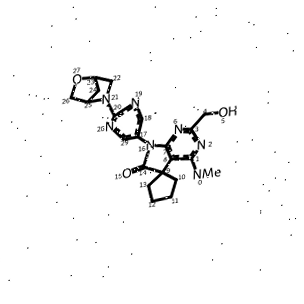 CNc1nc(CO)nc2c1C1(CCCC1)C(=O)N2c1cnc(N2CC3CC2CO3)nc1